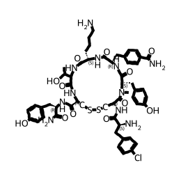 CC(O)C1NC(=O)[C@H](CCCCN)NC(=O)[C@@H](Cc2ccc(C(N)=O)cc2)NC(=O)[C@H](Cc2ccc(O)cc2)N(C)C(=O)[C@H](NC(=O)[C@@H](N)Cc2ccc(Cl)cc2)CSSC[C@@H](C(=O)N[C@H](Cc2ccc(O)cc2)C(N)=O)NC1=O